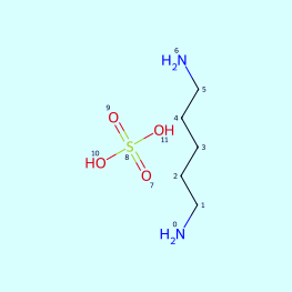 NCCCCCN.O=S(=O)(O)O